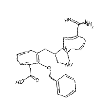 N=C(N)c1ccc2c(c1)C(Cc1cccc(C(=O)O)c1OCc1ccccc1)CN2